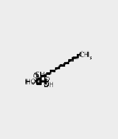 CCCCCCCCCCCCCCCCCCc1c(C(=O)O)ccc(O)c1OC